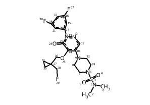 CN(C)S(=O)(=O)N1CCN(c2cnn(-c3cc(F)cc(F)c3)c(=O)c2OCC2(CF)CC2)CC1